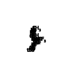 Cc1nc2ncc(NC(=O)c3cccc(-n4nc(C(F)(F)F)c5c4C(Oc4ccc(C(=O)OC(C)(C)C)cc4)CCC5)c3)cc2o1